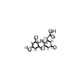 O=C1C=C/C(=N\c2c(Cl)cc(OI)cc2Cl)C(CC(=O)O)=C1